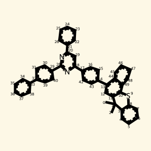 CC1(C)c2ccccc2Sc2c1cc(-c1ccc(-c3cc(-c4ccccc4)nc(-c4ccc(-c5ccccc5)cc4)n3)cc1)c1ccccc21